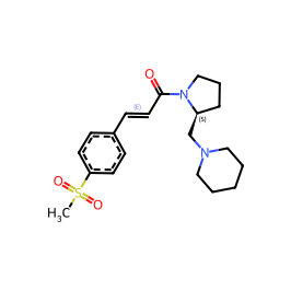 CS(=O)(=O)c1ccc(/C=C/C(=O)N2CCC[C@H]2CN2CCCCC2)cc1